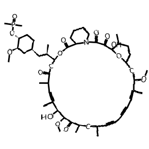 COC1CC2CCC(C)C(O)(O2)C(=O)C(=O)N2CCCCC2C(=O)OC([C@H](C)C[C@@H]2CC[C@@H](OP(C)(C)=O)[C@H](OC)C2)CC(=O)C(C)C=C(C)C(O)C(OC)C(=O)C(C)CC(C)C=CC=CC=C1C